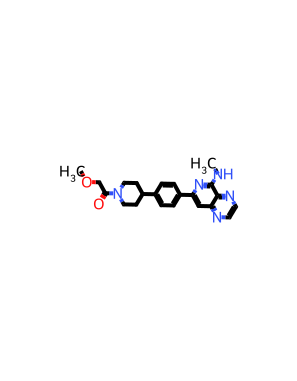 CNc1nc(-c2ccc(C3CCN(C(=O)COC)CC3)cc2)cc2nccnc12